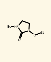 CCON1CC[SH](C(C)CC)C1=O